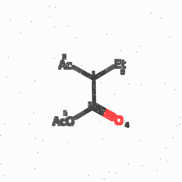 CCC(C(C)=O)C(=O)OC(C)=O